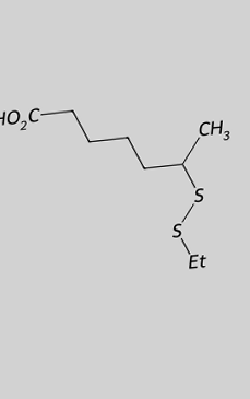 CCSSC(C)CCCCC(=O)O